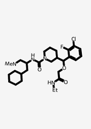 CCNC(=O)COC(c1cccc(Cl)c1F)C1CCCN(C(=O)NC(CNC)CC2CCCCC2)C1